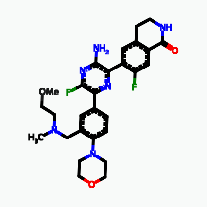 COCCN(C)Cc1cc(-c2nc(-c3cc4c(cc3F)C(=O)NCC4)c(N)nc2F)ccc1N1CCOCC1